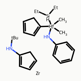 CC(C)(C)NC1=CC=CC1.CC[SiH](CC)[Hf]([CH3])([CH3])([NH]c1ccccc1)[C]1=CC=CC1.[Zr]